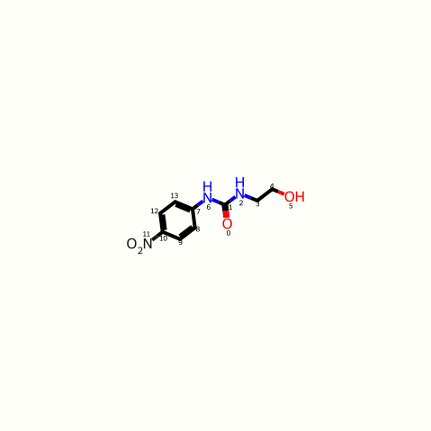 O=C(NCCO)Nc1ccc([N+](=O)[O-])cc1